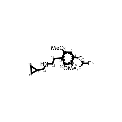 COc1cc(OC(F)F)c(OC)cc1CCNCC1CC1